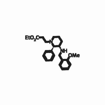 CCOC(=O)CCN1CCC[C@H](NCc2ccccc2OC)[C@@H]1c1ccccc1